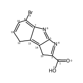 O=C(O)C1=NC2=NC3=C(Br)C=CCC3=C2C1